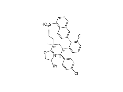 C=CC[C@@]1(C)C[C@H](c2cccc(Cl)c2-c2ccc3c(S(=O)(=O)O)cccc3c2)[C@@H](c2ccc(Cl)cc2)[N+]2=C1OCC2C(C)C